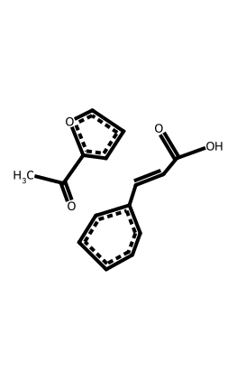 CC(=O)c1ccco1.O=C(O)/C=C/c1ccccc1